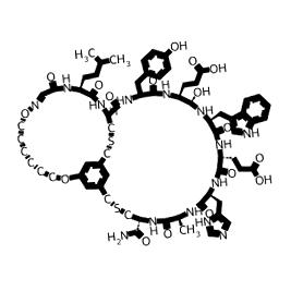 CC(C)CC[C@@H]1NC(=O)/C=N/OCCCCCCOc2cc3cc(c2)CSC[C@H](NC1=O)C(=O)NC(Cc1ccc(O)cc1)C(=O)N[C@@H](CCC(=O)O)[C@H](O)N[C@@H](Cc1c[nH]c2ccccc12)C(=O)N[C@H](CCC(=O)O)C(=O)N[C@@H](Cc1cnc[nH]1)C(=O)N[C@@H](C)C(=O)N[C@H](C(N)=O)CSC3